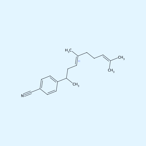 CC(C)=CCC/C(C)=C/CC(C)c1ccc(C#N)cc1